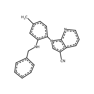 Cc1ccc(-n2cc(C#N)c3cccnc32)c(NCc2ccccc2)c1